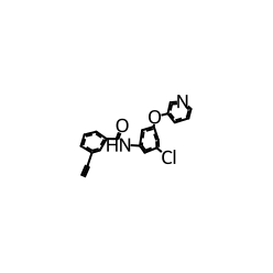 C#Cc1cccc(C(=O)Nc2cc(Cl)cc(Oc3cccnc3)c2)c1